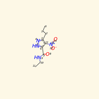 CCCc1n[nH]c(C(=O)NCC)c1[N+](=O)[O-]